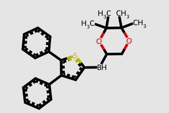 CC1(C)OCC(Bc2cc(-c3ccccc3)c(-c3ccccc3)s2)OC1(C)C